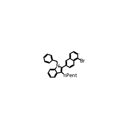 CCCCCc1c(-c2ccc3c(Br)[c]ccc3c2)n(Cc2ccccc2)c2ccccc12